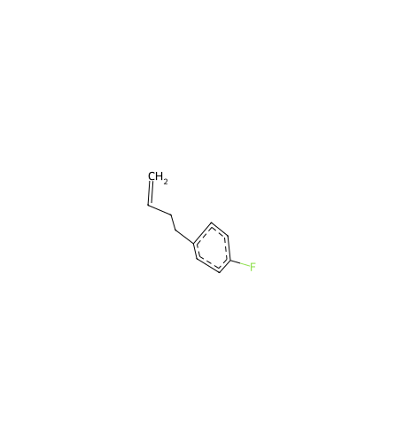 C=CCCc1ccc(F)cc1